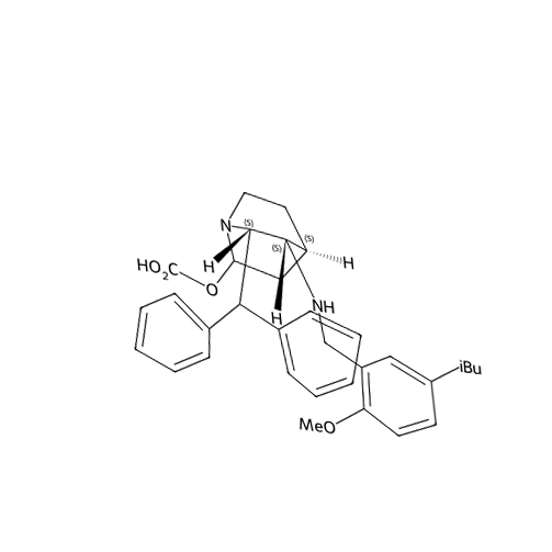 CCC(C)c1ccc(OC)c(CN[C@H]2[C@H]3CCN(C(OC(=O)O)C3)[C@H]2C(c2ccccc2)c2ccccc2)c1